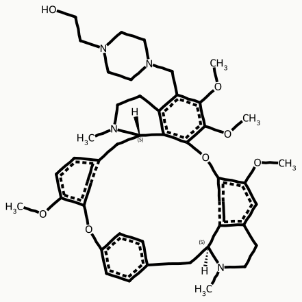 COc1ccc2cc1Oc1ccc(cc1)C[C@H]1c3cc(c(OC)cc3CCN1C)Oc1c(OC)c(OC)c(CN3CCN(CCO)CC3)c3c1[C@H](C2)N(C)CC3